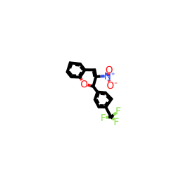 O=[N+]([O-])C1=Cc2ccccc2OC1c1ccc(C(F)(F)F)cc1